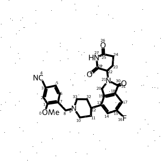 COc1cc(C#N)ccc1CN1CCC(c2cc(F)cc3c2CN(C2CCC(=O)NC2=O)C3=O)CC1